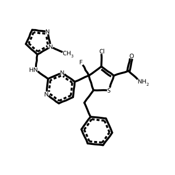 Cn1nccc1Nc1nccc(C2(F)C(Cl)=C(C(N)=O)SC2Cc2ccccc2)n1